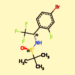 CC(C)(C)[S@@+]([O-])N[C@@H](c1ccc(Br)cc1F)C(F)(F)F